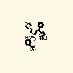 Cl.Cl.O=C(Nc1cccc(-c2cnco2)c1)N(CCC(c1ccccc1)c1cccs1)CCN1CCOCC1